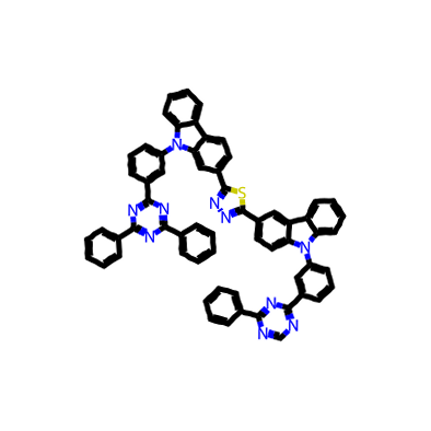 c1ccc(-c2ncnc(-c3cccc(-n4c5ccccc5c5cc(-c6nnc(-c7ccc8c9ccccc9n(-c9cccc(-c%10nc(-c%11ccccc%11)nc(-c%11ccccc%11)n%10)c9)c8c7)s6)ccc54)c3)n2)cc1